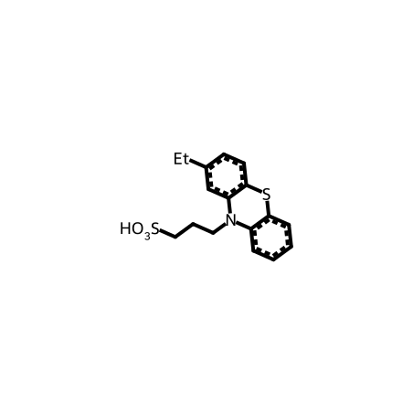 CCc1ccc2c(c1)N(CCCS(=O)(=O)O)c1ccccc1S2